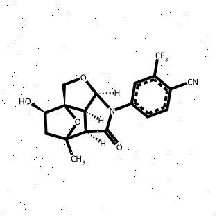 CC12C[C@@H](O)[C@@]3(CO[C@@H]4[C@H]3[C@H]1C(=O)N4c1ccc(C#N)c(C(F)(F)F)c1)O2